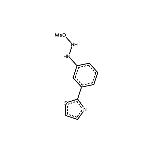 CONNc1cccc(-c2nccs2)c1